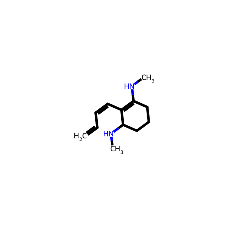 C=C/C=C\C1=C(NC)CCCC1NC